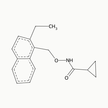 CCc1ccc2ccccc2c1CONC(=O)C1CC1